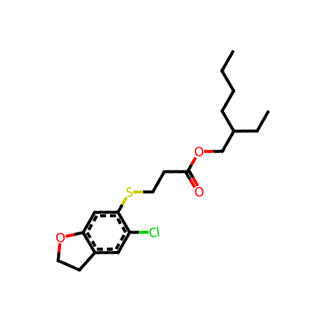 CCCCC(CC)COC(=O)CCSc1cc2c(cc1Cl)CCO2